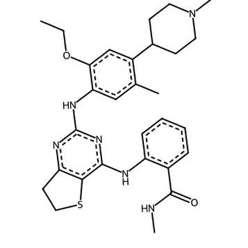 CCOc1cc(C2CCN(C)CC2)c(C)cc1Nc1nc2c(c(Nc3ccccc3C(=O)NC)n1)SCC2